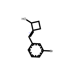 OC1CC/C1=C\c1cccc(Br)c1